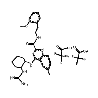 COc1ccccc1CCNC(=O)c1nc(NC2CCCCC2NC(=N)N)c2cc(C)ccc2n1.O=C(O)C(F)(F)F.O=C(O)C(F)(F)F